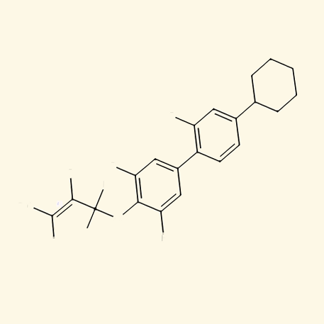 F/C(=C(/F)C(F)(F)Oc1c(F)cc(-c2ccc(C3CCCCC3)cc2F)cc1F)C(F)(F)F